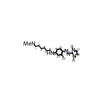 CNCCCCCCNc1ccc(/N=N/c2n(C)cc[n+]2C)c(C)c1